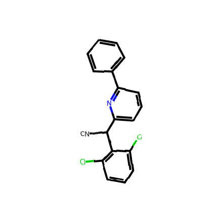 [C-]#[N+]C(c1cccc(-c2ccccc2)n1)c1c(Cl)cccc1Cl